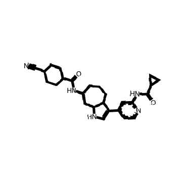 N#CC1CCC(C(=O)NC2CCCC3C(c4ccnc(NC(=O)C5CC5)c4)=CNC3C2)CC1